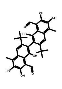 Cc1c(O)c(O)c(C=O)c2c(O)c(-c3c(C(C)(C)C)cc4c(C)c(O)c(O)c(C=O)c4c3O)c(C(C)(C)C)cc12